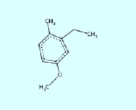 CCc1cc(OC)ccc1C